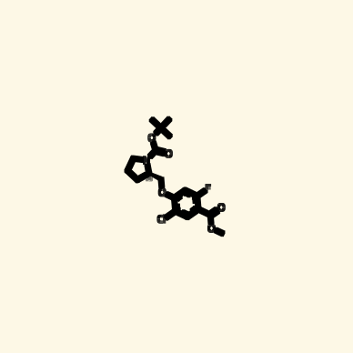 COC(=O)c1cc(Cl)c(OC[C@H]2CCCN2C(=O)OC(C)(C)C)cc1F